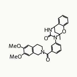 COc1cc2c(cc1OC)CN(C(=O)c1cccc(N3C(=O)NC4CC3(C)Oc3ccccc34)c1)CC2